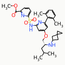 COC(=O)c1cccc(S(=O)(=O)Nc2cc(OC[C@@H](CC(C)C)NC3CC4(CC4)C3)cc(-c3c(C)cccc3C)n2)n1